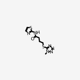 Cn1nnnc1SCCCC(=O)Nc1nccs1